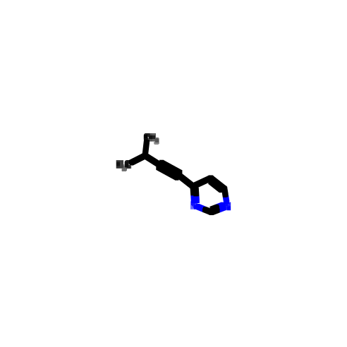 CC(C)C#Cc1ccncn1